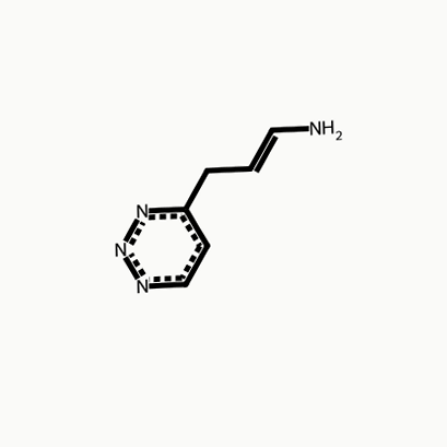 NC=CCc1ccnnn1